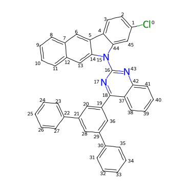 Clc1ccc2c3cc4ccccc4cc3n(-c3nc(-c4cc(-c5ccccc5)cc(-c5ccccc5)c4)c4ccccc4n3)c2c1